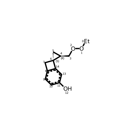 CCOOC[C@@H]1C[C@]12Cc1ccc(O)cc12